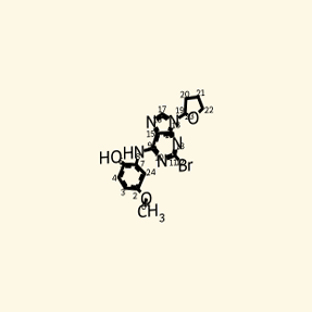 COc1ccc(O)c(Nc2nc(Br)nc3c2ncn3C2CCCO2)c1